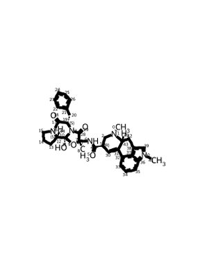 CN1C[C@H](C(=O)N[C@]2(C)O[C@@]3(O)[C@@H]4CCCN4C(=O)[C@H](Cc4ccccc4)N3C2=O)C=C2c3cccc4c3c(cn4C)C[C@H]21